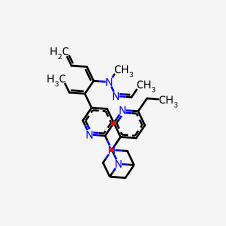 C=C/C=C(\C(=C/C)c1ccc(N2CC3CC(C2)N3Cc2ccc(CC)nc2)nc1)N(C)/N=C\C